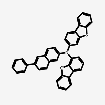 c1ccc(-c2ccc3cc(N(c4ccc5c(c4)sc4ccccc45)c4cccc5c4oc4ccccc45)ccc3c2)cc1